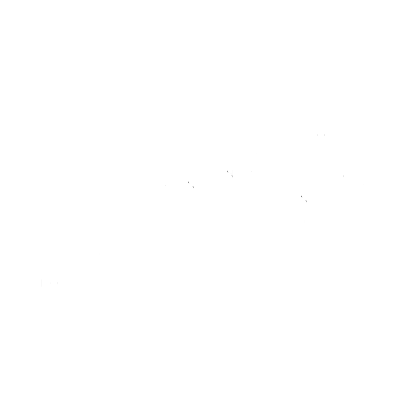 CCn1cc(C(=O)O)c(=O)c2cc(F)c(N3CCN(C(=O)OCCSSCCO)CC3)cc21